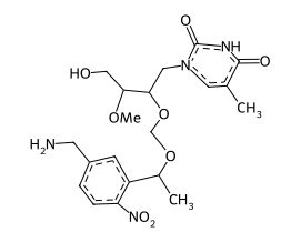 COC(CO)C(Cn1cc(C)c(=O)[nH]c1=O)OCOC(C)c1cc(CN)ccc1[N+](=O)[O-]